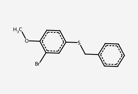 COc1ccc(SCc2ccccc2)cc1Br